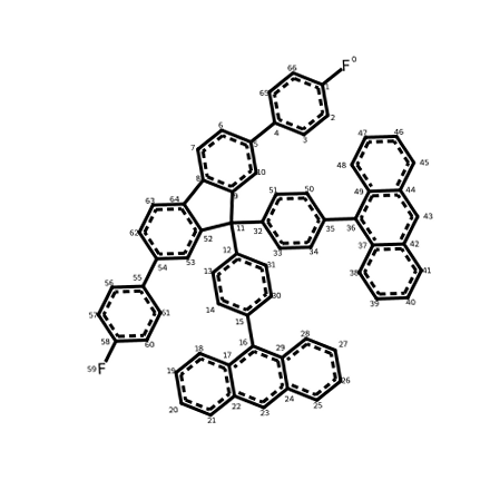 Fc1ccc(-c2ccc3c(c2)C(c2ccc(-c4c5ccccc5cc5ccccc45)cc2)(c2ccc(-c4c5ccccc5cc5ccccc45)cc2)c2cc(-c4ccc(F)cc4)ccc2-3)cc1